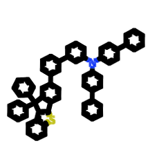 c1ccc(-c2ccc(N(c3ccc(-c4ccccc4)cc3)c3cccc(-c4cccc(-c5ccc6c(c5)C(c5ccccc5)(c5ccccc5)c5c-6sc6ccccc56)c4)c3)cc2)cc1